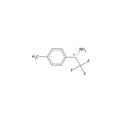 Cc1ccc([C@H](N)C(F)(F)F)cc1